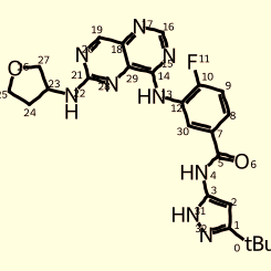 CC(C)(C)c1cc(NC(=O)c2ccc(F)c(Nc3ncnc4cnc(NC5CCOC5)nc34)c2)[nH]n1